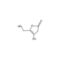 CCCCCC1=C(O)CC(=O)O1